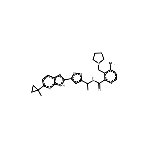 CC(NC(=O)c1ncnc(N)c1CN1CCCC1)c1cc(-c2nc3ccc(C4(C)CC4)nc3[nH]2)no1